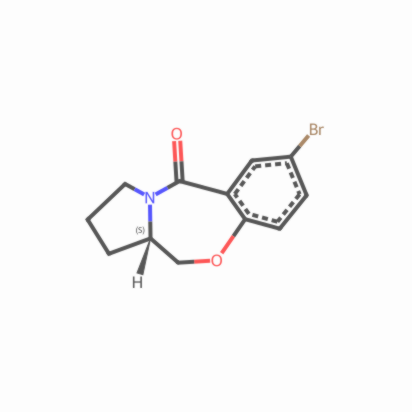 O=C1c2cc(Br)ccc2OC[C@@H]2CCCN12